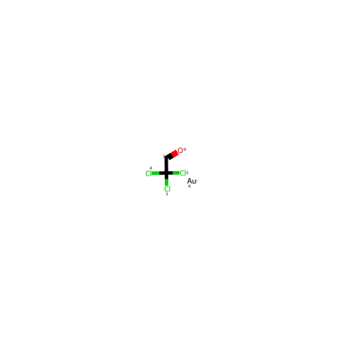 O=CC(Cl)(Cl)Cl.[Au]